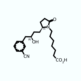 N#Cc1cccc(C[C@H](O)CC[C@H]2CCC(=O)N2CCCCCCC(=O)O)c1